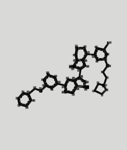 Fc1cc(OCCN2CCCC2)cc(-c2cncc3[nH]c(-c4n[nH]c5cnc(-c6cncc(OCc7ccccc7)c6)cc45)cc23)c1